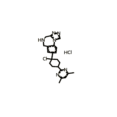 Cc1cc(C)nc(C2CCC(Cl)(c3ccc4c(c3)CNCc3nncn3-4)CC2)n1.Cl